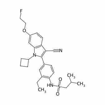 CCc1cc(-c2c(C#N)c3ccc(OCCF)cc3n2C2CCC2)ccc1NS(=O)(=O)CC(C)C